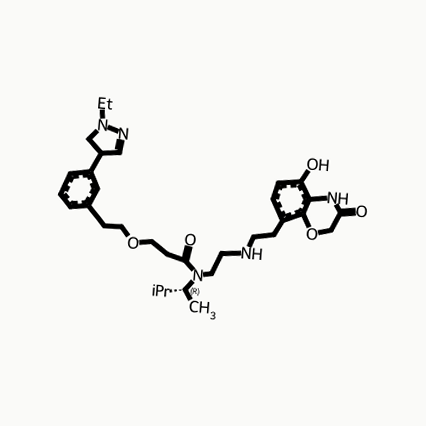 CCN1CC(c2cccc(CCOCCC(=O)N(CCNCCc3ccc(O)c4c3OCC(=O)N4)[C@H](C)C(C)C)c2)C=N1